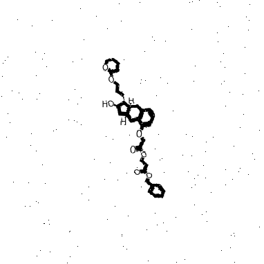 O=C(CCOC(=O)COc1cccc2c1C[C@H]1C[C@@H](O)[C@H](CCCOC3CCCCO3)[C@H]1C2)OCc1ccccc1